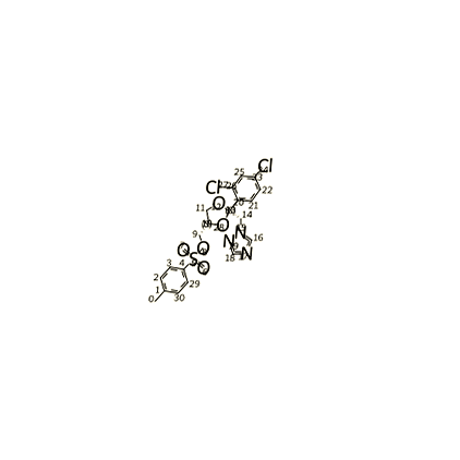 Cc1ccc(S(=O)(=O)OC[C@@H]2CO[C@@](Cn3cncn3)(c3ccc(Cl)cc3Cl)O2)cc1